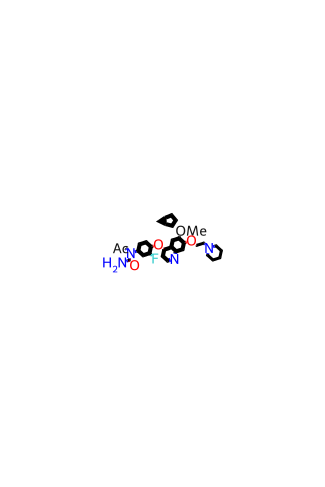 COc1cc2c(Oc3ccc(N(C(C)=O)C(N)=O)cc3F)ccnc2cc1OCCN1CCCCC1.c1cc2cc-2c1